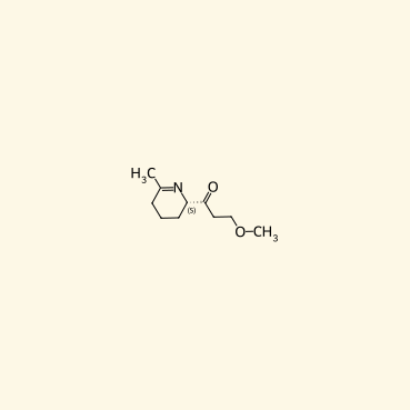 COCCC(=O)[C@@H]1CCCC(C)=N1